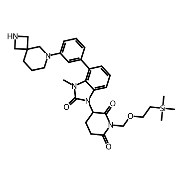 Cn1c(=O)n(C2CCC(=O)N(COCC[Si](C)(C)C)C2=O)c2cccc(-c3cccc(N4CCCC5(CNC5)C4)c3)c21